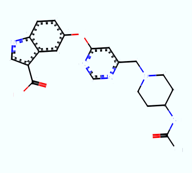 CC(=O)NC1CCN(Cc2cc(Oc3ccc4[nH]cc(C(=O)O)c4c3)ncn2)CC1